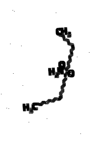 CCCCCC/C=C\CCCCCCC(C(N)=O)C(=O)CCCCCCC/C=C\CCCCCCCC